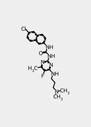 Cc1nc(NC(=O)Nc2ccc3cc(Cl)ccc3c2)nc(NCCCN(C)C)c1F